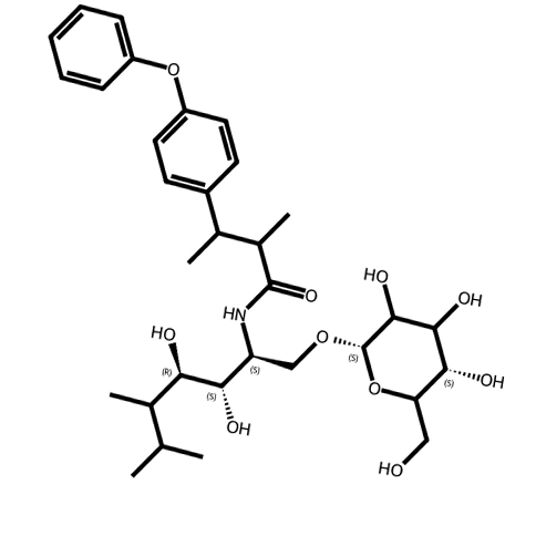 CC(C)C(C)[C@@H](O)[C@@H](O)[C@H](CO[C@H]1OC(CO)[C@@H](O)C(O)C1O)NC(=O)C(C)C(C)c1ccc(Oc2ccccc2)cc1